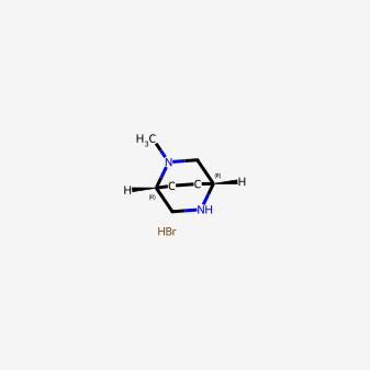 Br.CN1C[C@H]2CC[C@@H]1CN2